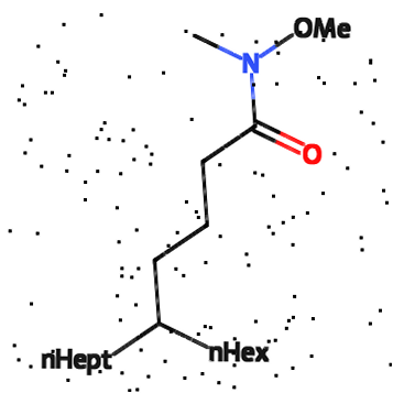 CCCCCCCC(CCCCCC)CCCC(=O)N(C)OC